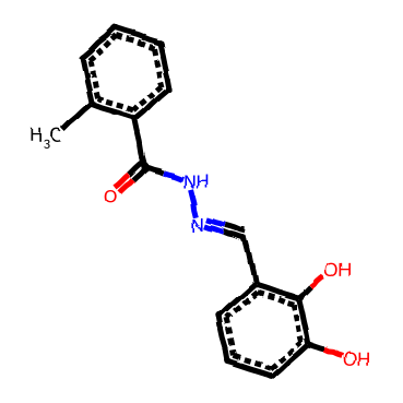 Cc1ccccc1C(=O)NN=Cc1cccc(O)c1O